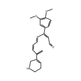 C=C(\C=C/C=N/C(=C\C=O)c1ccc(OC)c(OC)c1)C1=CCCNC1